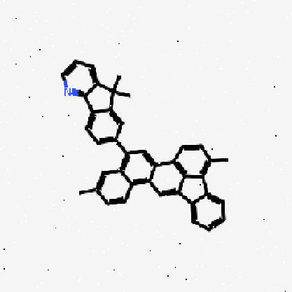 Cc1ccc2c(c1)c(-c1ccc3c(c1)C(C)(C)c1cccnc1-3)cc1c3ccc(C)c4c3c(cc21)-c1ccccc1-4